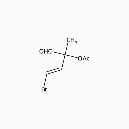 CC(=O)OC(C)(C=O)C=CBr